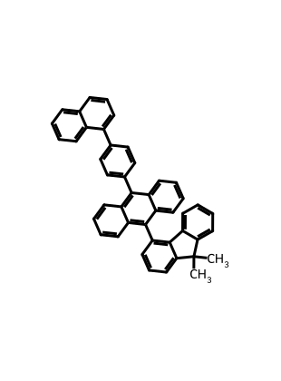 CC1(C)c2ccccc2-c2c(-c3c4ccccc4c(-c4ccc(-c5cccc6ccccc56)cc4)c4ccccc34)cccc21